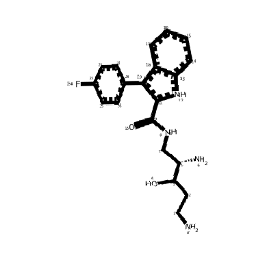 NCCC(O)[C@@H](N)CNC(=O)c1[nH]c2ccccc2c1-c1ccc(F)cc1